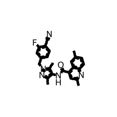 Cc1ccc2nc(C)cc(C(=O)Nc3c(C)nn(Cc4ccc(C#N)c(F)c4)c3C)c2c1